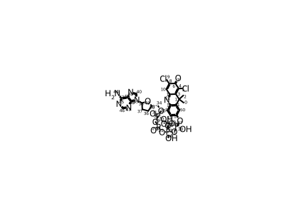 CC1(C)C2=C(Cl)C(=O)C(Cl)=CC2=Nc2ccc(OP(=O)(O)OP(=O)(O)OP(=O)(O)OP(=O)(O)OC[C@@H]3CCC(n4cnc5c(N)ncnc54)O3)cc21